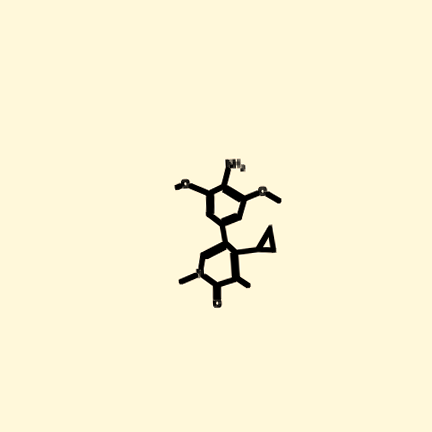 COc1cc(-c2cn(C)c(=O)c(C)c2C2CC2)cc(OC)c1N